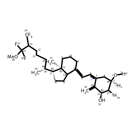 [2H]O[C@]1([2H])C/C(=C/C=C2CCC[C@@]3(C)C2CC[C@@H]3[C@H](C)CCCC(C(F)(F)F)C(F)(F)OC)C(=C)[C@H](O)C1[2H]